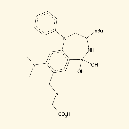 CCCCC1CN(c2ccccc2)c2cc(N(C)C)c(CSCC(=O)O)cc2S(O)(O)N1